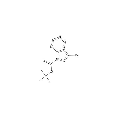 CC(C)(C)OC(=O)n1cc(Br)c2cncnc21